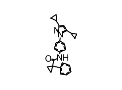 O=C(Nc1ccc(-n2nc(C3CC3)cc2C2CC2)cc1)C1(c2ccccc2)CC1